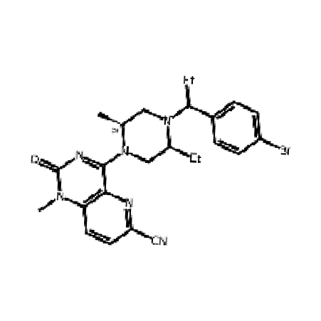 CCC1CN(c2nc(=O)n(C)c3ccc(C#N)nc23)[C@@H](C)CN1C(CC)c1ccc(Br)cc1